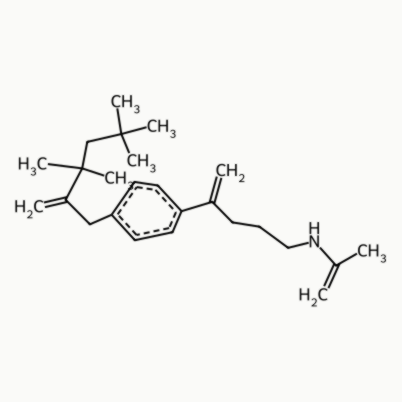 C=C(C)NCCCC(=C)c1ccc(CC(=C)C(C)(C)CC(C)(C)C)cc1